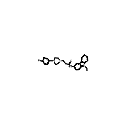 CCn1c2ccccc2c2cc(NC(=O)CCN3CCN(c4ccc(F)cc4)CC3)ccc21